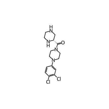 O=C([C@H]1CNCCN1)N1CCN(c2ccc(Cl)c(Cl)c2)CC1